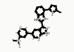 Cc1ccc(-c2cccc3[nH]c(-c4n[nH]c5ncc(-c6cncc(N(C)F)c6)cc45)nc23)s1